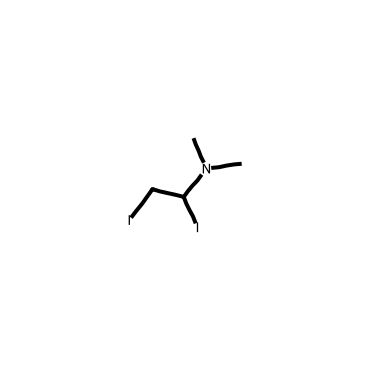 CN(C)C(I)CI